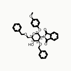 COc1ccc(O[C@H]2O[C@H](COCc3ccccc3)[C@@H](O)[C@H](OCc3ccccc3)[C@@H]2N2C(=O)c3ccccc3C2=O)cc1